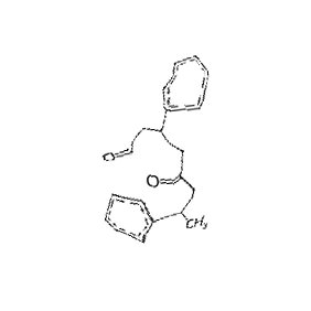 CC(CC(=O)CC(CC=O)c1ccccc1)c1ccccc1